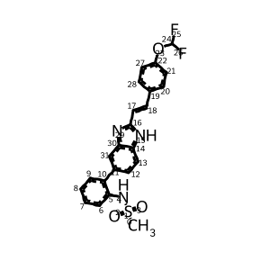 CS(=O)(=O)Nc1ccccc1-c1ccc2[nH]c(C=Cc3ccc(OC(F)F)cc3)nc2c1